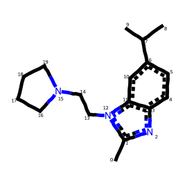 Cc1nc2ccc(C(C)C)cc2n1CCN1CCCC1